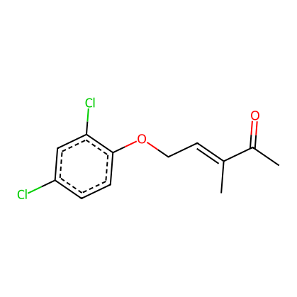 CC(=O)/C(C)=C/COc1ccc(Cl)cc1Cl